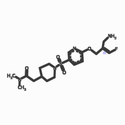 CN(C)C(=O)CC1CCN(S(=O)(=O)c2ccc(OC/C(=C/F)CN)nc2)CC1